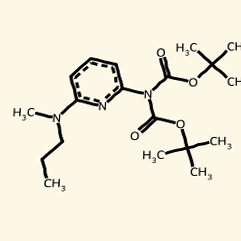 CCCN(C)c1cccc(N(C(=O)OC(C)(C)C)C(=O)OC(C)(C)C)n1